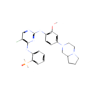 COc1cc(N2CCN3CCCC3C2)ccc1Nc1ncc(Cl)c(Nc2ccccc2P(C)(C)=O)n1